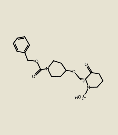 O=C1CCCN(C(=O)O)[C@H]1COC1CCN(C(=O)OCc2ccccc2)CC1